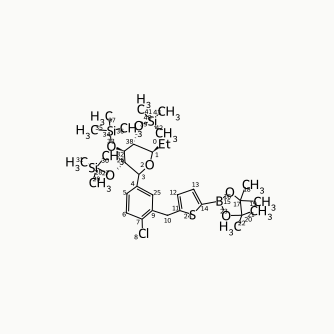 CC[C@H]1OC(c2ccc(Cl)c(Cc3ccc(B4OC(C)(C)C(C)(C)O4)s3)c2)[C@H](O[Si](C)(C)C)[C@@H](O[Si](C)(C)C)[C@@H]1O[Si](C)(C)C